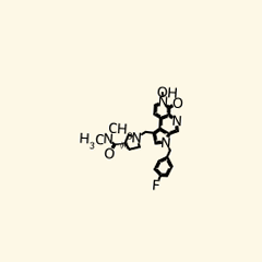 CN(C)C(=O)[C@@H]1CCN(Cc2cn(Cc3ccc(F)cc3)c3cnc4c(=O)n(O)ccc4c23)C1